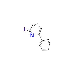 Ic1cccc(-c2ccccc2)n1